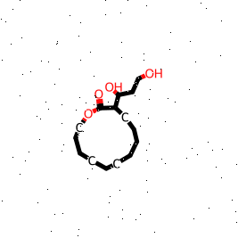 O=C1OCCCCCCCCCCC1C(O)CCO